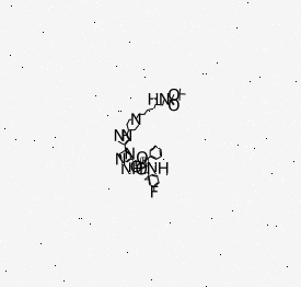 CC(C)(C)OC(=O)NCCCCCCN1CCC(n2cc(-c3cnc(N)c(C(=O)O[C@@H](C(=O)Nc4ccc(F)cc4)c4ccccc4)n3)cn2)CC1